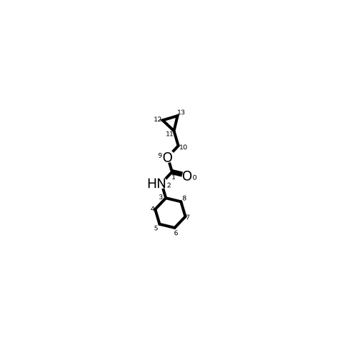 O=C(NC1CCCCC1)OCC1CC1